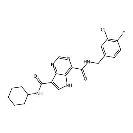 O=C(NC1CCCCC1)c1c[nH]c2c(C(=O)NCc3ccc(F)c(Cl)c3)ncnc12